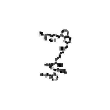 CC(C)NCC(O)COc1cccc2ccc(CNCCCCC(N[C@@H](C)C(=O)N3CCC[C@H]3C(=O)O)C(=O)O)cc12